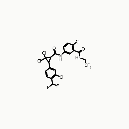 O=C(NCC(F)(F)F)c1cc(NC(=O)C2C(c3ccc(C(F)F)c(Cl)c3)C2(Cl)Cl)ccc1Cl